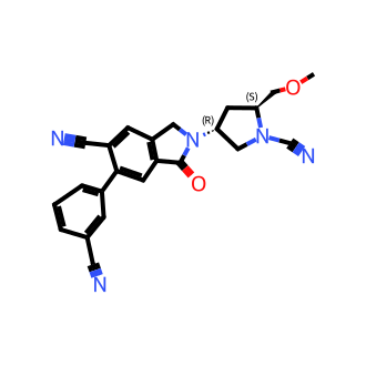 COC[C@@H]1C[C@@H](N2Cc3cc(C#N)c(-c4cccc(C#N)c4)cc3C2=O)CN1C#N